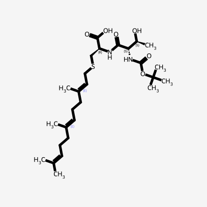 CC(C)=CCC/C(C)=C/CC/C(C)=C/CSC[C@H](NC(=O)[C@@H](NC(=O)OC(C)(C)C)[C@H](C)O)C(=O)O